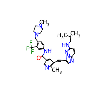 Cc1ncc(C(=O)Nc2ccc(CN3CCN(C)CC3)c(C(F)(F)F)c2)cc1C#Cc1cnc2ccc(NCC(C)C)nn12